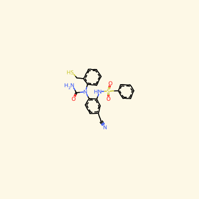 N#Cc1ccc(N(C(N)=O)c2ccccc2CS)c(NS(=O)(=O)c2ccccc2)c1